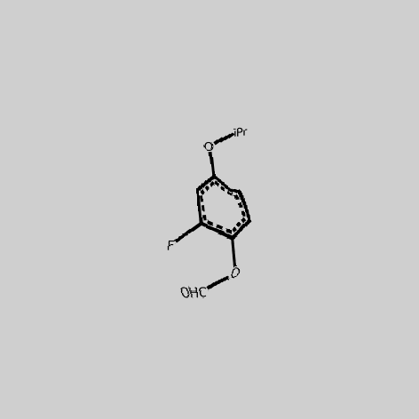 CC(C)Oc1ccc(OC=O)c(F)c1